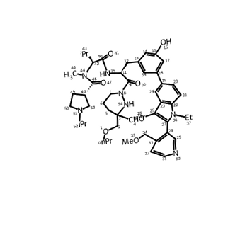 CCCOCC1(C=O)CCCN(C(=O)[C@H](Cc2cc(O)cc(-c3ccc4c(c3)c(CCC)c(-c3cnccc3COC)n4CC)c2)NC(=O)[C@H](C(C)C)N(C)C(=O)[C@H]2CCN(C(C)C)C2)N1